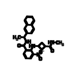 CNC(=O)C1CC(Nc2c(C(=O)N[C@@H](C)c3ccc4ccccc4c3)cccc2[N+](=O)[O-])C1